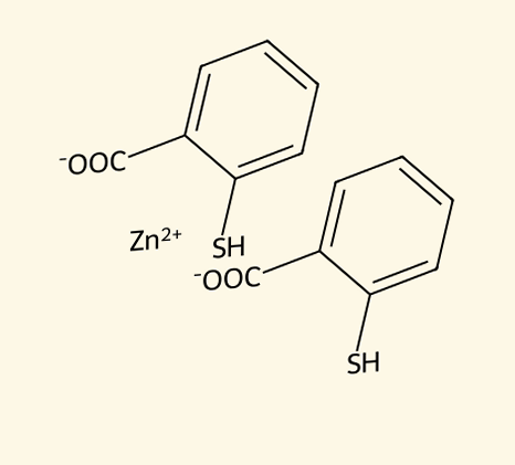 O=C([O-])c1ccccc1S.O=C([O-])c1ccccc1S.[Zn+2]